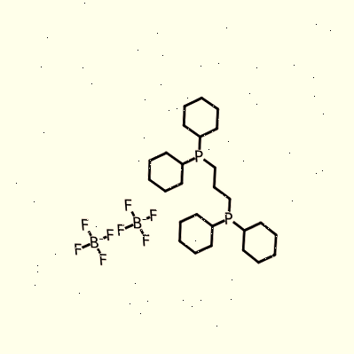 C1CCC(P(CCCP(C2CCCCC2)C2CCCCC2)C2CCCCC2)CC1.F[B-](F)(F)F.F[B-](F)(F)F